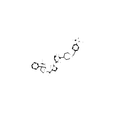 CS(=O)(=O)c1ccc(CN2CCC(c3nccc(-n4ccc(C(=O)N5CC[C@@](c6ccccc6)(C(F)(F)F)C5)n4)n3)CC2)cc1